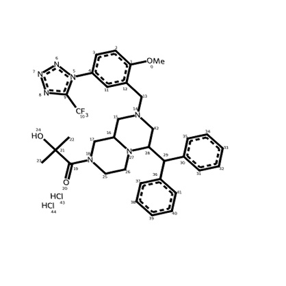 COc1ccc(-n2nnnc2C(F)(F)F)cc1CN1CC2CN(C(=O)C(C)(C)O)CCN2C(C(c2ccccc2)c2ccccc2)C1.Cl.Cl